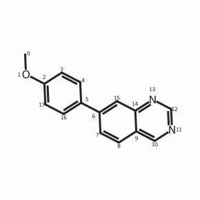 COc1ccc(-c2ccc3cncnc3c2)cc1